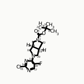 CC(C)(C)OC(=O)N1C[C@@H]2CN(c3nc(Cl)ncc3F)C[C@@H]2C1